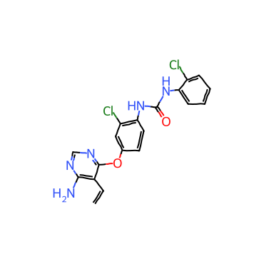 C=Cc1c(N)ncnc1Oc1ccc(NC(=O)Nc2ccccc2Cl)c(Cl)c1